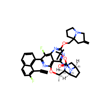 C#Cc1c(F)ccc2cccc(-c3nc4c5c(nc(OCC67CCCN6CC(=C)C7)nc5c3F)N3C[C@H]5CC[C@@H]([C@H]3[C@H](C)O4)N5C(=O)OC(C)(C)C)c12